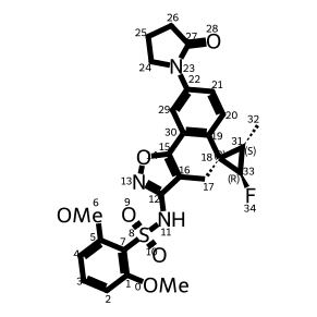 COc1cccc(OC)c1S(=O)(=O)Nc1noc2c1C[C@]1(c3ccc(N4CCCC4=O)cc3-2)[C@H](C)[C@H]1F